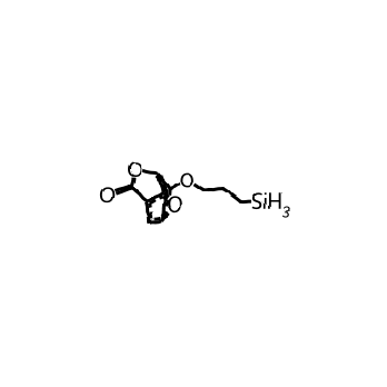 O=C1Oc2c(OCCC[SiH3])c3cc1c2o3